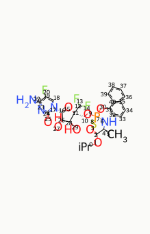 CC(C)OC(=O)[C@H](C)NP(=S)(OC[C@@]1(C(F)F)O[C@@H](n2cc(F)c(N)nc2=O)[C@H](O)[C@@H]1O)Oc1cccc2ccccc12